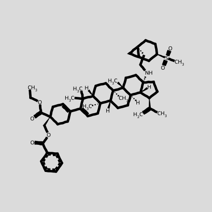 C=C(C)[C@@H]1CC[C@]2(NCC[C@]34CC[C@@H](S(C)(=O)=O)CC3C4)CC[C@]3(C)[C@H](CC[C@@H]4[C@@]5(C)CC=C(C6=CC[C@@](COC(=O)c7ccccc7)(C(=O)OCC)CC6)C(C)(C)[C@@H]5CC[C@]43C)[C@@H]12